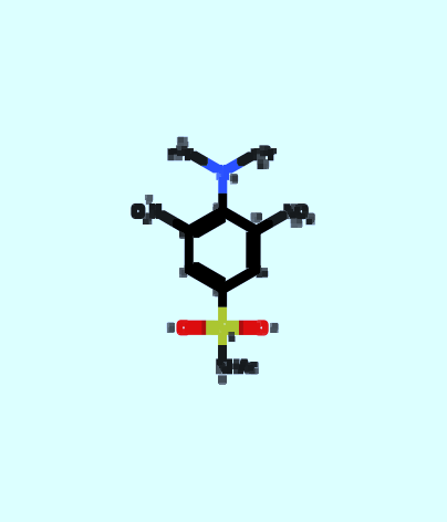 [CH2]C(=O)NS(=O)(=O)c1cc([N+](=O)[O-])c(N(CCC)CCC)c([N+](=O)[O-])c1